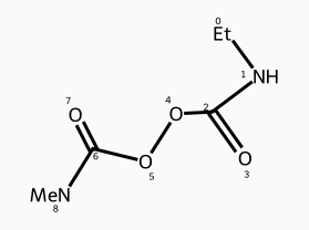 CCNC(=O)OOC(=O)NC